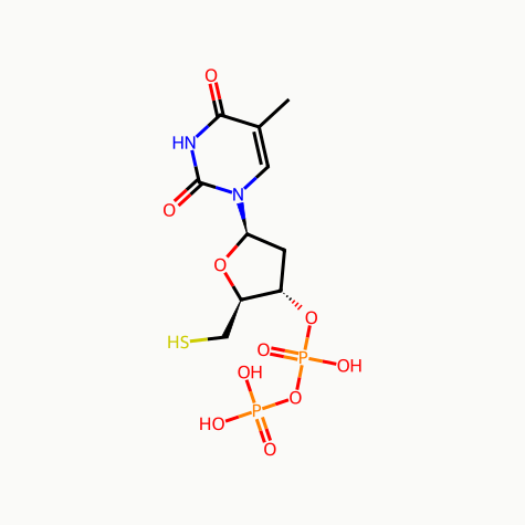 Cc1cn([C@H]2C[C@H](OP(=O)(O)OP(=O)(O)O)[C@@H](CS)O2)c(=O)[nH]c1=O